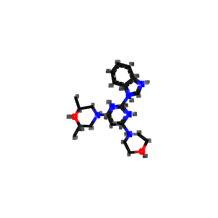 CC1CN(c2cc(N3CCOCC3)nc(-n3cnc4ccccc43)n2)CC(C)O1